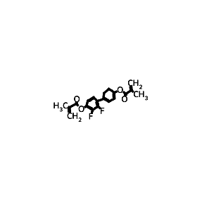 C=C(C)C(=O)OC1=CC=C(c2ccc(OC(=O)C(=C)C)c(F)c2F)CC1